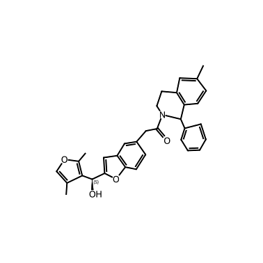 Cc1ccc2c(c1)CCN(C(=O)Cc1ccc3oc([C@@H](O)c4c(C)coc4C)cc3c1)C2c1ccccc1